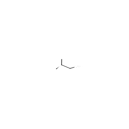 CNC[C@@H](C(=O)O)C(C)C